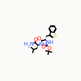 CC(C)C[C@H](NC(=O)[C@H](Cc1csc2ccccc12)NC(=O)OC(C)(C)C)C(N)=O